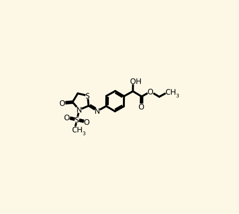 CCOC(=O)C(O)c1ccc(N=C2SCC(=O)N2S(C)(=O)=O)cc1